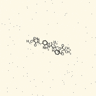 CN(C)C(=O)NCc1cccc(NC(=S)NC(C)(COC(=O)C(C)(C)C)c2cccc(Cl)c2)c1N